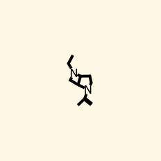 C=C(C)N1CCC2C1CN2CC